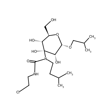 CC(C)CCN(C(=O)NCCCl)[C@@]1(O)[C@H](O)[C@@H](CO)O[C@H](OCC(C)C)[C@@H]1O